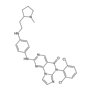 CN1CCCC1CCNc1ccc(Nc2ncc3c(=O)n(-c4c(Cl)cccc4Cl)c4nccn4c3n2)cc1